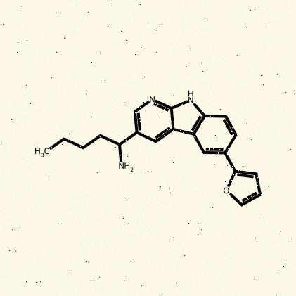 CCCCC(N)c1cnc2[nH]c3ccc(-c4ccco4)cc3c2c1